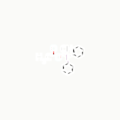 CC(=O)OC(C)P(c1ccccc1)c1ccccc1